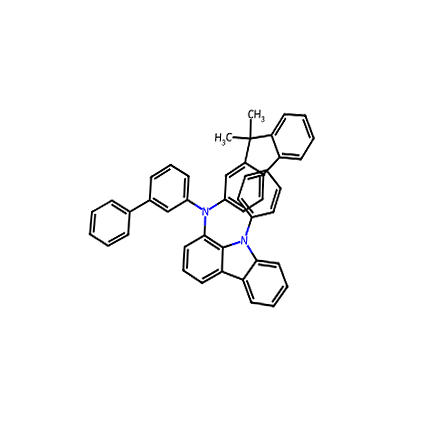 CC1(C)c2ccccc2-c2ccc(N(c3cccc(-c4ccccc4)c3)c3cccc4c5ccccc5n(-c5ccccc5)c34)cc21